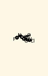 COCCOC[C@]12Cc3cnn(-c4ccc(F)cc4)c3C=C1CCN(S(=O)(=O)c1ccc(Cl)nc1)C2